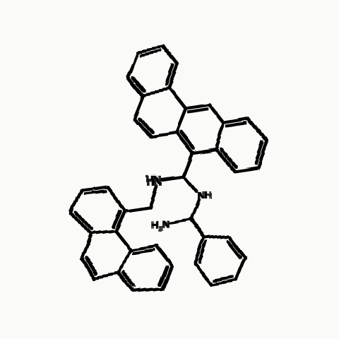 NC(NC(NCc1cccc2ccc3ccccc3c12)c1c2ccccc2cc2c1ccc1ccccc12)c1ccccc1